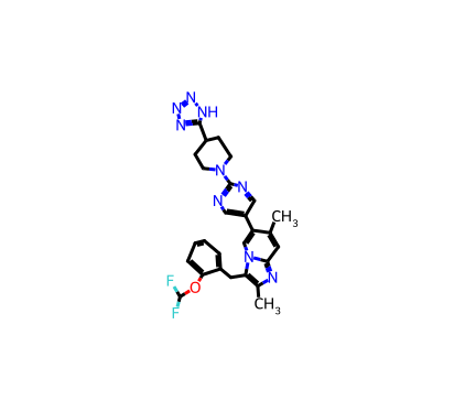 Cc1cc2nc(C)c(Cc3ccccc3OC(F)F)n2cc1-c1cnc(N2CCC(c3nnn[nH]3)CC2)nc1